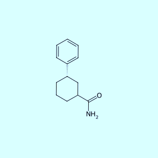 NC(=O)C1CCC[C@H](c2ccccc2)C1